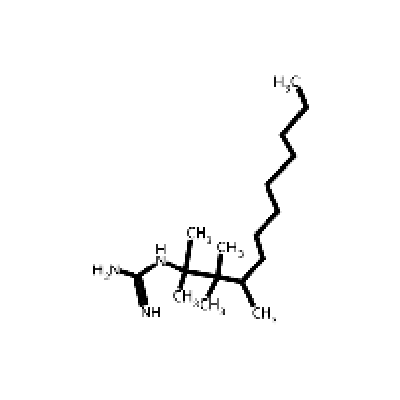 CCCCCCCCC(C)C(C)(C)C(C)(C)NC(=N)N